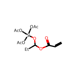 C=CC(=O)OC(CC)O[Si](OC(C)=O)(OC(C)=O)OC(C)=O